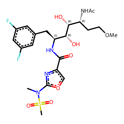 COCC[C@@H](NC(C)=O)[C@@H](O)[C@H](O)[C@H](Cc1cc(F)cc(F)c1)NC(=O)c1coc(N(C)S(C)(=O)=O)n1